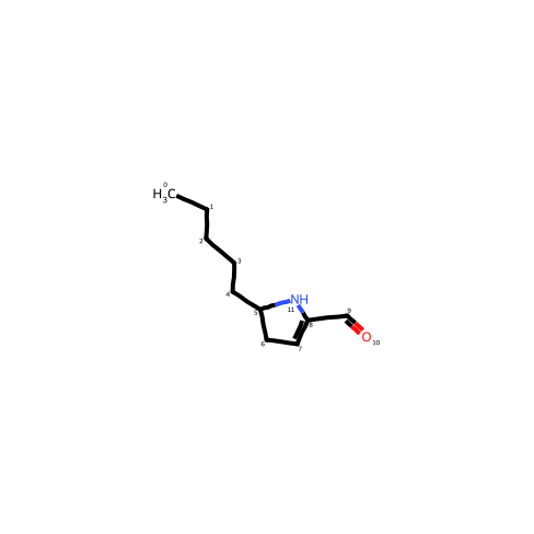 CCCCCC1CC=C(C=O)N1